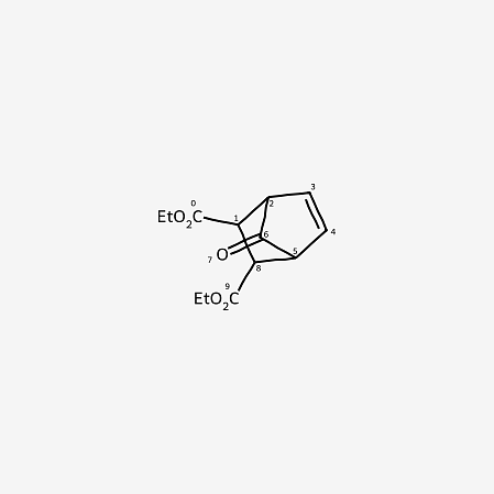 CCOC(=O)C1C2C=CC(C2=O)C1C(=O)OCC